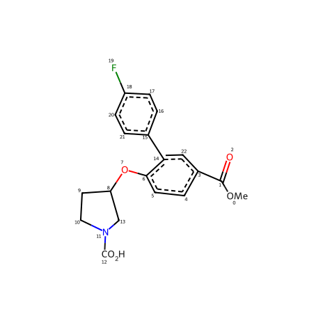 COC(=O)c1ccc(OC2CCN(C(=O)O)C2)c(-c2ccc(F)cc2)c1